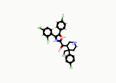 O=CCC1(c2ccc(Cl)cc2)CCNCC1C(=O)c1nc(-c2ccc(Cl)cc2Cl)c(-c2ccc(Cl)cc2)o1